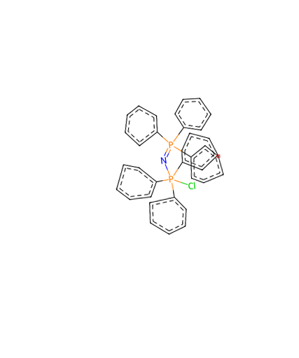 ClP(N=P(c1ccccc1)(c1ccccc1)c1ccccc1)(c1ccccc1)(c1ccccc1)c1ccccc1